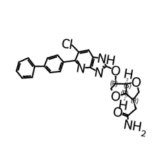 NC(=O)C[C@@H]1CO[C@H]2[C@@H]1OC[C@H]2Oc1nc2nc(-c3ccc(-c4ccccc4)cc3)c(Cl)cc2[nH]1